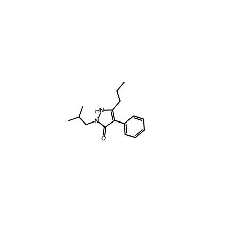 CCCc1[nH]n(CC(C)C)c(=O)c1-c1ccccc1